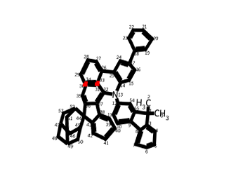 CC1(C)c2ccccc2-c2ccc(N(c3ccc(-c4ccccc4)cc3-c3ccccc3)c3cccc4c3-c3ccccc3C43C4CC5CC(C4)CC3C5)cc21